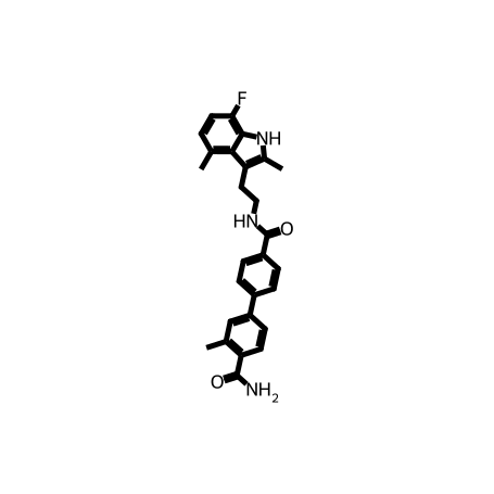 Cc1cc(-c2ccc(C(=O)NCCc3c(C)[nH]c4c(F)ccc(C)c34)cc2)ccc1C(N)=O